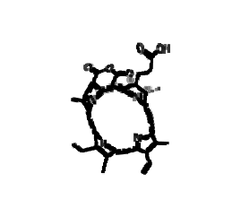 C=CC1=C(C)c2cc3[nH]c(c4c5[nH]c(cc6nc(cc1n2)C(C)=C6CC)c(C)c5C(=O)OC4=O)[C@@H](CCC(=O)O)[C@@H]3C